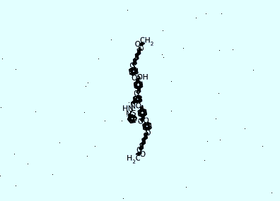 C=CC(=O)OCCCCCCOc1ccc(OC(=O)C2CCC(COc3ccc(OCC4CCC(C(O)Oc5ccc(OCCCCCCOC(=O)C=C)cc5)CC4)cc3/C=N/Nc3nc4ccccc4s3)CC2)cc1